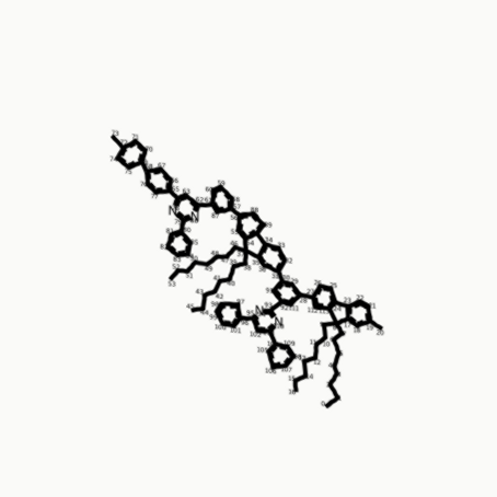 CCCCCCCCC1(CCCCCCCC)c2cc(C)ccc2-c2ccc(-c3cc(-c4ccc5c(c4)C(CCCCCCCC)(CCCCCCCC)c4cc(-c6cccc(-c7cc(-c8ccc(-c9ccc(C)cc9)cc8)nc(-c8ccccc8)n7)c6)ccc4-5)cc(-c4nc(-c5ccccc5)cc(-c5ccccc5)n4)c3)cc21